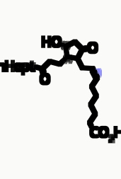 CCCCCCCC(=O)CC[C@@H]1C(C/C=C\CCCCCC(=O)O)C(=O)C[C@H]1O